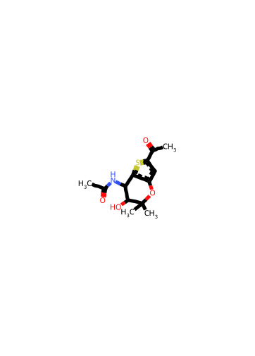 CC(=O)NC1c2sc(C(C)=O)cc2OC(C)(C)C1O